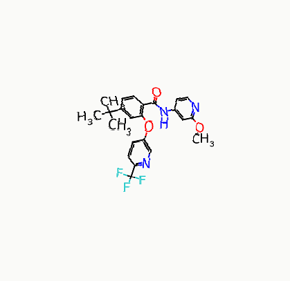 COc1cc(NC(=O)c2ccc(C(C)(C)C)cc2Oc2ccc(C(F)(F)F)nc2)ccn1